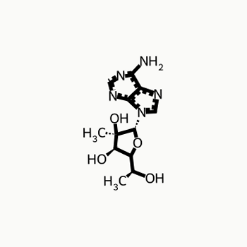 C[C@H](O)C1O[C@@H](n2cnc3c(N)ncnc32)[C@](C)(O)[C@@H]1O